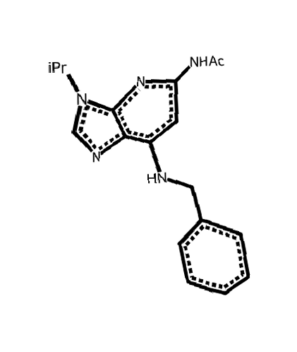 CC(=O)Nc1cc(NCc2ccccc2)c2ncn(C(C)C)c2n1